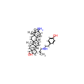 C=C(CNCCc1ccc(O)cc1)[C@@H]1CC[C@]2(CO)CC[C@]3(C)[C@H](CC[C@@H]4[C@@]5(C)CCC(N)C(C)(C)[C@@H]5CC[C@]43C)[C@@H]12